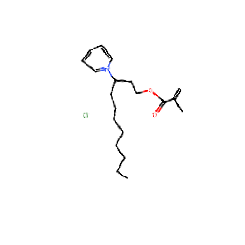 C=C(C)C(=O)OCCC(CCCCCCCC)[n+]1ccccc1.[Cl-]